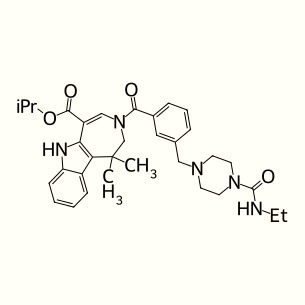 CCNC(=O)N1CCN(Cc2cccc(C(=O)N3C=C(C(=O)OC(C)C)c4[nH]c5ccccc5c4C(C)(C)C3)c2)CC1